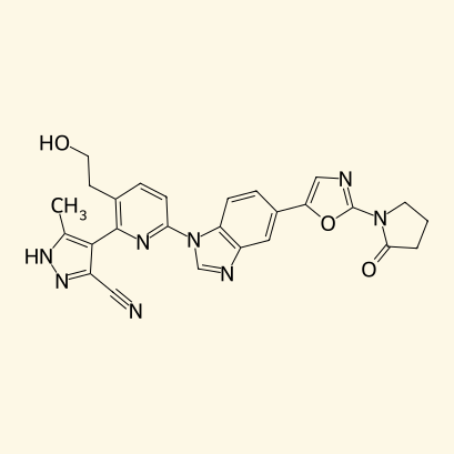 Cc1[nH]nc(C#N)c1-c1nc(-n2cnc3cc(-c4cnc(N5CCCC5=O)o4)ccc32)ccc1CCO